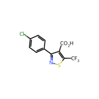 O=C(O)c1c(-c2ccc(Cl)cc2)nsc1C(F)(F)F